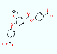 COc1cc(C(=O)Oc2ccc(C(=O)O)cc2)ccc1Oc1ccc(C(=O)O)cc1